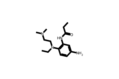 CCC(=O)Nc1cc(N)ccc1N(CC)CCN(C)C